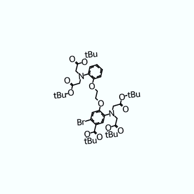 CC(C)(C)OC(=O)CN(CC(=O)OC(C)(C)C)c1ccccc1OCCOc1cc(Br)c(C(=O)OC(C)(C)C)cc1N(CC(=O)OC(C)(C)C)CC(=O)OC(C)(C)C